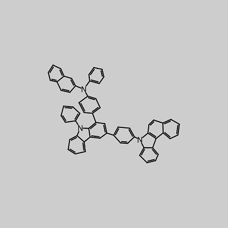 c1ccc(N(c2ccc(-c3cc(-c4ccc(-n5c6ccccc6c6c7ccccc7ccc65)cc4)cc4c5ccccc5n(-c5ccccc5)c34)cc2)c2ccc3ccccc3c2)cc1